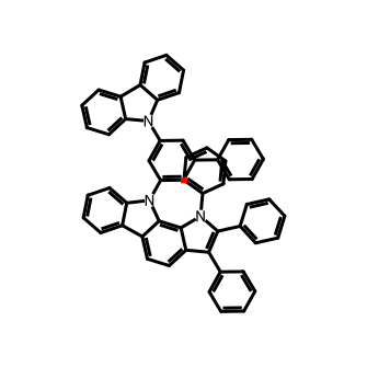 c1ccc(-c2cc(-n3c4ccccc4c4ccccc43)cc(-n3c4ccccc4c4ccc5c(-c6ccccc6)c(-c6ccccc6)n(-c6ccccc6)c5c43)c2)cc1